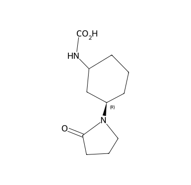 O=C(O)NC1CCC[C@@H](N2CCCC2=O)C1